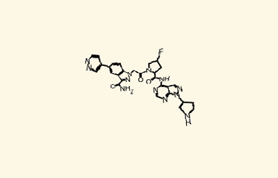 NC(=O)c1nn(CC(=O)N2CC(F)CC2C(=O)Nc2ncnc3c2cnn3C2CCNC2)c2ccc(-c3ccnnc3)cc12